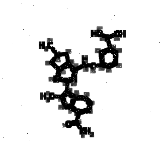 Cc1nc2c(C(N)=O)cccn2c1-c1nc2c(c(NCc3cccc(B(O)O)c3)n1)CN(C)C2